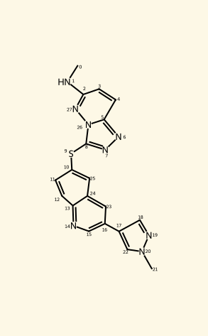 CNc1ccc2nnc(Sc3ccc4ncc(-c5cnn(C)c5)cc4c3)n2n1